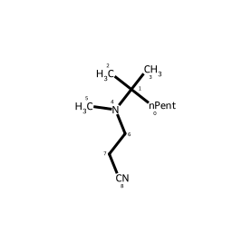 CCCCCC(C)(C)N(C)CCC#N